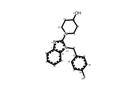 OC1CCN(c2nc3ccccc3n2Cc2ccc(F)cc2)CC1